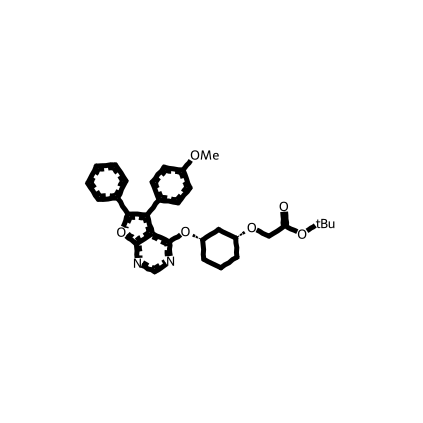 COc1ccc(-c2c(-c3ccccc3)oc3ncnc(O[C@H]4CCC[C@@H](OCC(=O)OC(C)(C)C)C4)c23)cc1